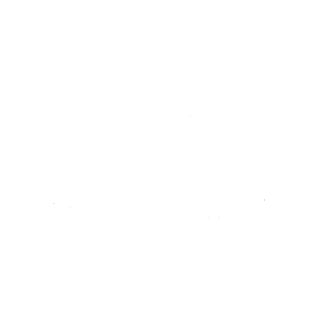 CCCCCC(O)C=CC1CCC(=O)N1CC=CCOCC(=O)OCC